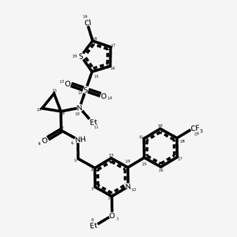 CCOc1cc(CNC(=O)C2(N(CC)S(=O)(=O)c3ccc(Cl)s3)CC2)cc(-c2ccc(C(F)(F)F)cc2)n1